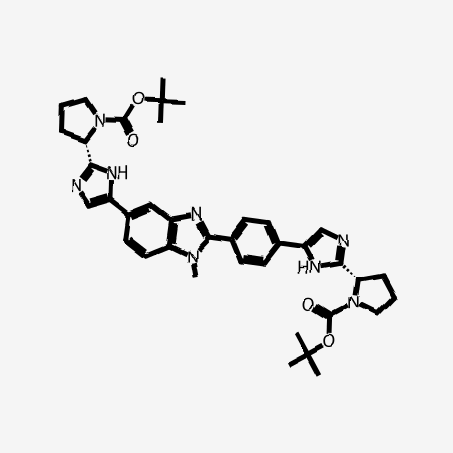 Cn1c(-c2ccc(-c3cnc([C@@H]4CCCN4C(=O)OC(C)(C)C)[nH]3)cc2)nc2cc(-c3cnc([C@@H]4CCCN4C(=O)OC(C)(C)C)[nH]3)ccc21